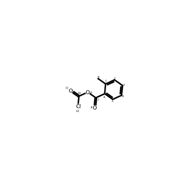 Cc1ccccc1C(=O)OC(=O)Cl